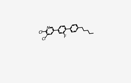 CCCCCc1ccc(-c2ccc(-c3cnc(Cl)c(Cl)c3)cc2F)cc1